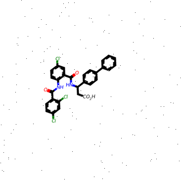 O=C(O)CC(NC(=O)c1cc(Cl)ccc1NC(=O)c1ccc(Cl)cc1Cl)c1ccc(-c2ccccc2)cc1